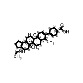 CCN[C@]12CCCC1C1CCC3C4(C)CC=C(C5=CC[C@H](C(=O)O)CC5)C(C)C4CCC3(C)[C@]1(C)CC2